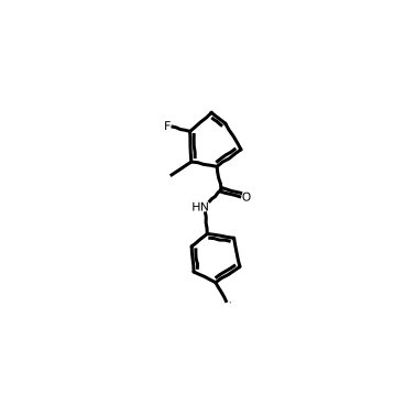 [CH2]c1ccc(NC(=O)c2cccc(F)c2C)cc1